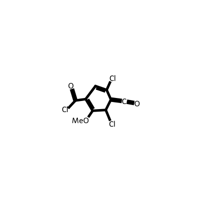 COC1=C(C(=O)Cl)C=C(Cl)C(=C=O)C1Cl